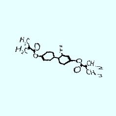 C=C(C)C(=O)OC1CCC(C2CCC(OC(=O)C(=C)C)CC2F)CC1